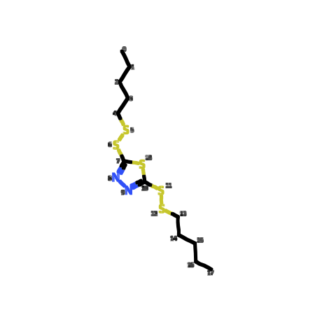 CCCCCSSc1nnc(SSCCCCC)s1